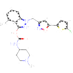 CC(C)N1CCC(NC(=O)Oc2nn(Cc3cc(-c4ccc(Cl)s4)on3)c3cccc(C#N)c23)CC1